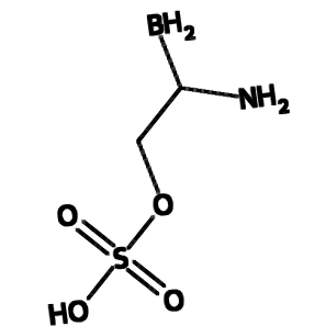 BC(N)COS(=O)(=O)O